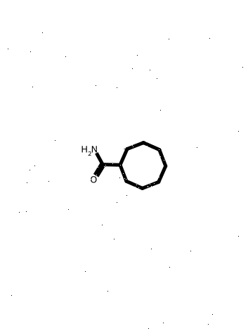 NC(=O)C1[CH]CCCCCC1